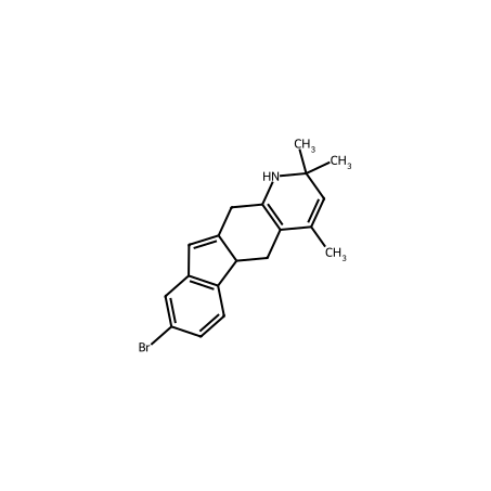 CC1=CC(C)(C)NC2=C1CC1C(=Cc3cc(Br)ccc31)C2